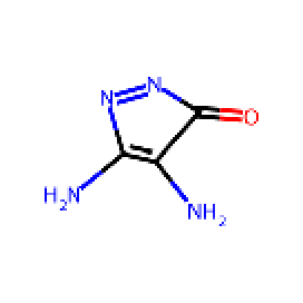 NC1=C(N)C(=O)N=N1